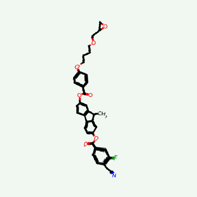 CC1c2cc(OC(=O)c3ccc(OCCCCOCC4CO4)cc3)ccc2-c2ccc(OC(=O)c3ccc(C#N)c(F)c3)cc21